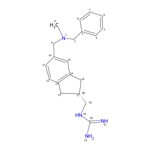 CN(Cc1ccccc1)Cc1ccc2c(c1)C[C@H](CNC(=N)N)C2